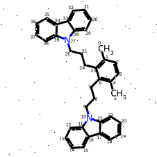 Cc1ccc(C)c(CCCn2c3ccccc3c3ccccc32)c1CCCn1c2ccccc2c2ccccc21